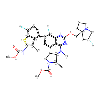 CCN(c1nc(OC[C@@]23CCCN2C[C@H](F)C3)nc2c(F)c(-c3ccc(F)c4sc(NC(=O)OC(C)(C)C)c(C#N)c34)ccc12)[C@@H]1CCN(C(=O)OC(C)(C)C)[C@@H]1C